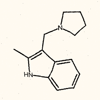 Cc1[nH]c2ccccc2c1CN1CCCC1